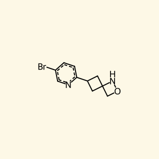 Brc1ccc(C2CC3(CON3)C2)nc1